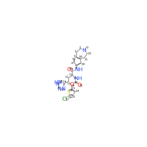 CN1CCc2ccc(NC(=O)C(CCc3nnn[nH]3)NC(=O)Oc3ccc(Cl)s3)cc2CC1